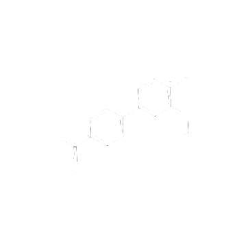 COc1cc(-c2ccc(C(=O)O)cc2)ccc1N